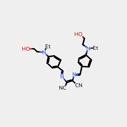 CCN(CCO)c1ccc(C=NC(C#N)=C(C#N)N=Cc2ccc(N(CC)CCO)cc2)cc1